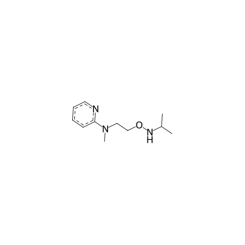 CC(C)NOCCN(C)c1ccccn1